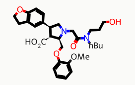 CCCCN(CCCO)C(=O)CN1C[C@H](c2ccc3c(c2)CCO3)[C@@H](C(=O)O)[C@@H]1COc1ccccc1OC